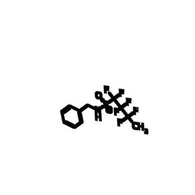 CC(F)(F)C(F)(F)C(F)(F)S(=O)(=O)NCc1ccccc1